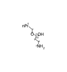 CCCCO[C@H](O)CCN